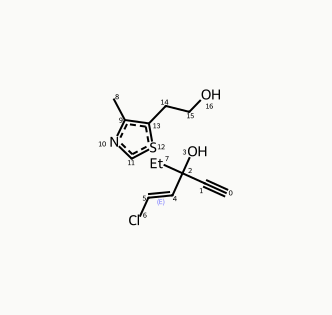 C#CC(O)(/C=C/Cl)CC.Cc1ncsc1CCO